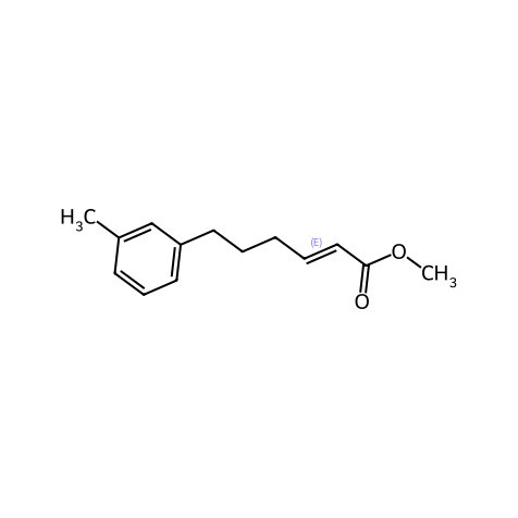 COC(=O)/C=C/CCCc1cccc(C)c1